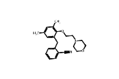 Cc1cc(C)c(OCCN2CCOCC2)c(Cc2ccccc2C#N)c1